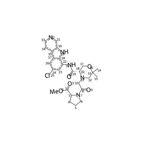 COC(=O)C1CCCN1C(=O)CN1CC(C)(C)OC[C@H]1C(=O)Nc1cc(Cl)cc2c1[nH]c1cnccc12